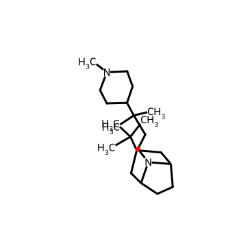 CN1CCC(C(C)(C)CCN2C3CCC2CC(C(C)(C)C)C3)CC1